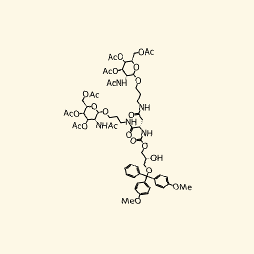 COc1ccc(C(OC[C@@H](O)COC(=O)N[C@@H](CC(=O)NCCCO[C@@H]2O[C@H](COC(C)=O)[C@H](OC(C)=O)[C@H](OC(C)=O)[C@H]2NC(C)=O)C(=O)NCCCO[C@@H]2O[C@H](COC(C)=O)[C@H](OC(C)=O)[C@H](OC(C)=O)[C@H]2NC(C)=O)(c2ccccc2)c2ccc(OC)cc2)cc1